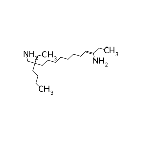 CCCCC(CC)(CN)CCCCCCCC=C(N)CC